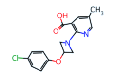 Cc1cnc(N2CC(Oc3ccc(Cl)cc3)C2)c(C(=O)O)c1